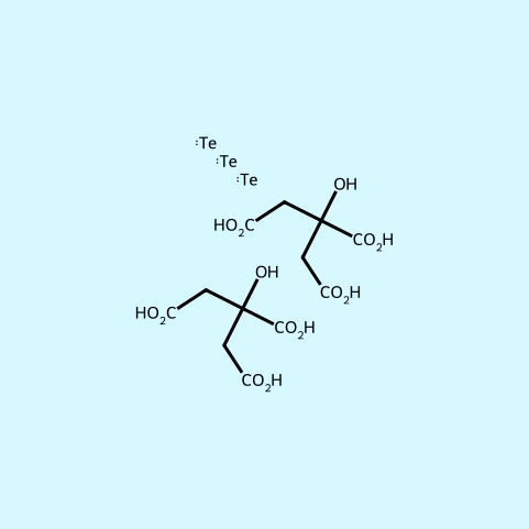 O=C(O)CC(O)(CC(=O)O)C(=O)O.O=C(O)CC(O)(CC(=O)O)C(=O)O.[Te].[Te].[Te]